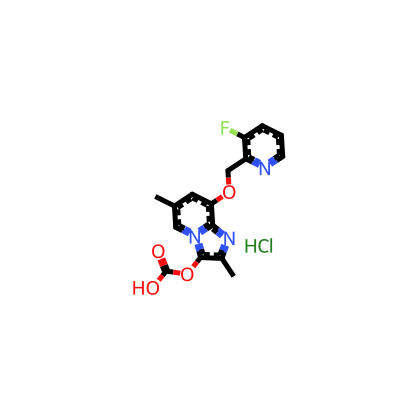 Cc1cc(OCc2ncccc2F)c2nc(C)c(OC(=O)O)n2c1.Cl